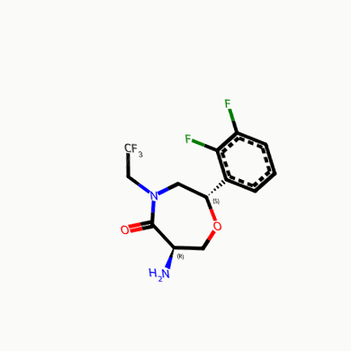 N[C@@H]1CO[C@@H](c2cccc(F)c2F)CN(CC(F)(F)F)C1=O